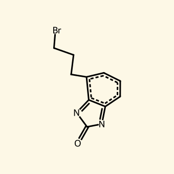 O=C1N=c2cccc(CCCBr)c2=N1